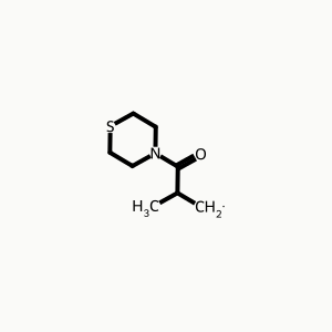 [CH2]C(C)C(=O)N1CCSCC1